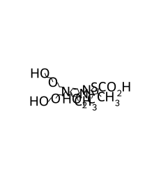 Cc1cc(N(CCCOCCO)CCOCCO)ccc1/N=N/c1sc(C(=O)O)c(C)c1C(=O)O